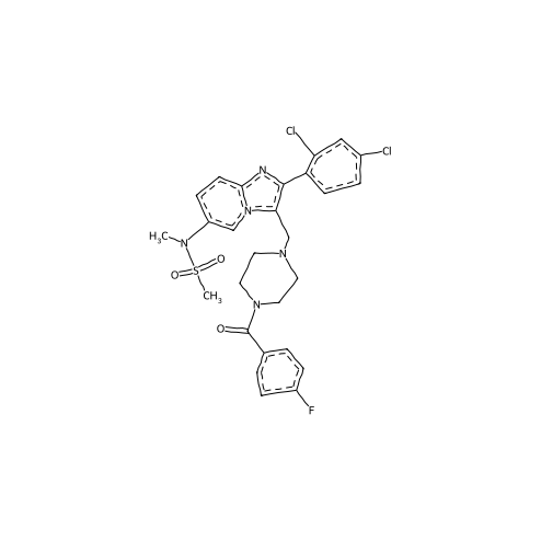 CN(c1ccc2nc(-c3ccc(Cl)cc3Cl)c(CN3CCN(C(=O)c4ccc(F)cc4)CC3)n2c1)S(C)(=O)=O